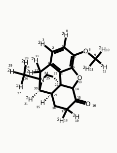 [2H]c1c([2H])c2c3c(c1OC([2H])([2H])[2H])OC1C(=O)C([2H])([2H])C[C@@H]4[C@@]31CCN(C([2H])([2H])[2H])[C@]4([2H])C2([2H])[2H]